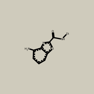 CCNC(=O)c1nc2c(N)cccc2s1